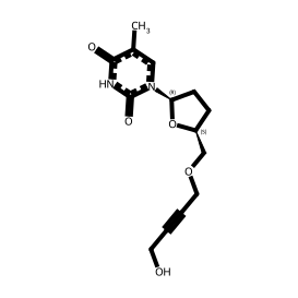 Cc1cn([C@H]2CC[C@@H](COCC#CCO)O2)c(=O)[nH]c1=O